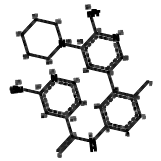 C=C(Nc1ccc(C)c(-c2cnc(CCC)c(N3CCCCC3)c2)c1)c1ccnc(C(C)(C)C)c1